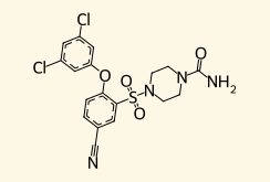 N#Cc1ccc(Oc2cc(Cl)cc(Cl)c2)c(S(=O)(=O)N2CCN(C(N)=O)CC2)c1